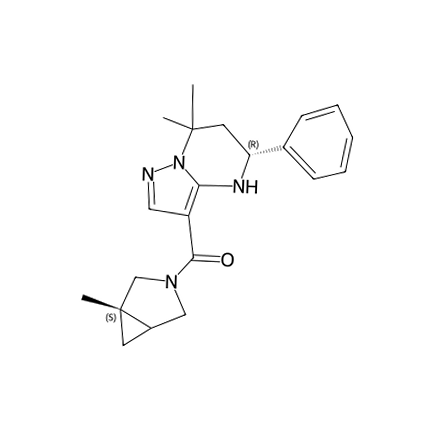 CC1(C)C[C@H](c2ccccc2)Nc2c(C(=O)N3CC4C[C@]4(C)C3)cnn21